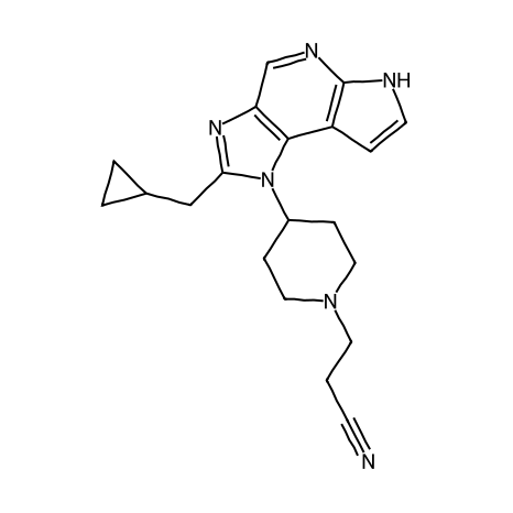 N#CCCN1CCC(n2c(CC3CC3)nc3cnc4[nH]ccc4c32)CC1